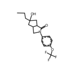 CCCC1(O)CC2CN(c3ccc(OC(F)(F)F)cc3)C(=O)C2C1